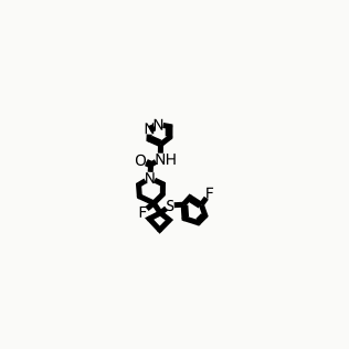 O=C(Nc1ccnnc1)N1CCC(F)(C2(Sc3cccc(F)c3)CCC2)CC1